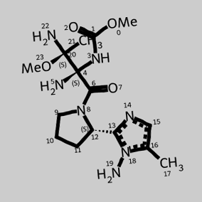 COC(=O)N[C@](N)(C(=O)N1CCC[C@H]1c1ncc(C)n1N)[C@@](C)(N)OC